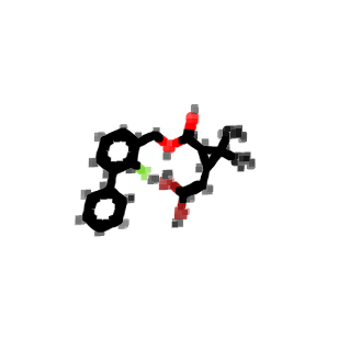 CC1(C)[C@H](C(=O)OCc2cccc(-c3ccccc3)c2F)[C@@H]1C=C(Br)Br